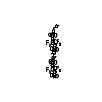 Cc1cc(N2C(=O)c3ccc(C(c4ccc5c(c4)C(=O)N(C)C5=O)(C(F)(F)F)C(F)(F)F)cc3C2=O)ccc1-c1ccc(N2C(=O)c3ccc(C(c4ccc5c(c4)C(=O)N(C4CCC(CC6CCC(C)CC6)CC4)C5=O)(C(F)(F)F)C(F)(F)F)cc3C2=O)cc1C